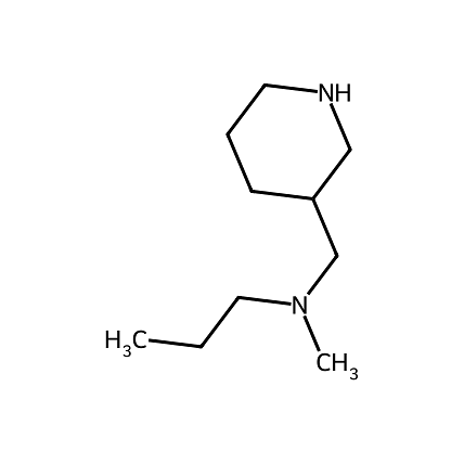 CCCN(C)CC1CCCNC1